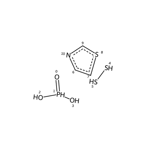 O=[PH](O)O.SS.c1cscn1